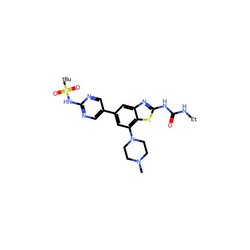 CCNC(=O)Nc1nc2cc(-c3cnc(NS(=O)(=O)C(C)(C)C)nc3)cc(N3CCN(C)CC3)c2s1